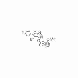 COc1ccccc1CC(Oc1ncnc2oc(-c3ccc(F)cc3)c(Br)c12)C(=O)O